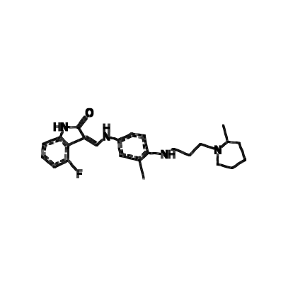 Cc1cc(NC=C2C(=O)Nc3cccc(F)c32)ccc1NCCCN1CCCCC1C